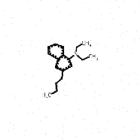 CCCCc1cc(N(CC)CC)c2ccccc2c1